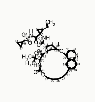 C=C[C@@H]1C[C@]1(NC(=O)[C@@H]1C[C@@H]2CN1C(=O)[C@H](C(C)(C)C)NC(=O)OCCCCCc1ccc3nccc(c3c1)O2)C(=O)NS(=O)(=O)C1CC1